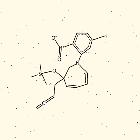 C=C=CCC1(O[Si](C)(C)C)C=CC=CN(c2cc(I)ccc2[N+](=O)[O-])C1